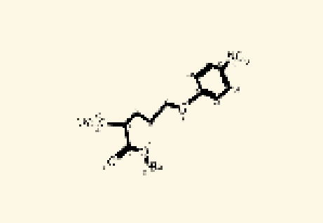 CCC(C)OC(=O)C(CCCOc1ccc([N+](=O)[O-])cc1)C(=O)O